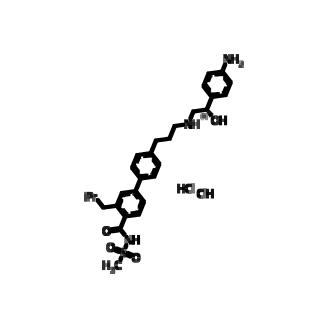 CC(C)Cc1cc(-c2ccc(CCCNC[C@H](O)c3ccc(N)cc3)cc2)ccc1C(=O)NS(C)(=O)=O.Cl.Cl